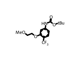 COCCOc1cc(NC(=O)OC(C)(C)C)ccc1C(F)(F)F